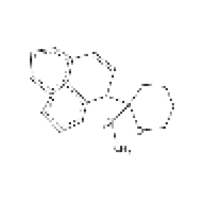 C[SiH2]C1(C2C=Cc3cccc4cccc2c34)CCCCO1